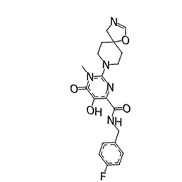 Cn1c(N2CCC3(CC2)CN=CO3)nc(C(=O)NCc2ccc(F)cc2)c(O)c1=O